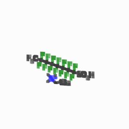 CC(C)(C)C[N+](C)(C)C.O=S(=O)(O)C(F)(F)C(F)(F)C(F)(F)C(F)(F)C(F)(F)C(F)(F)C(F)(F)C(F)(F)F